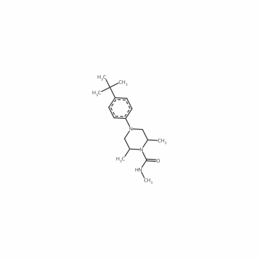 CNC(=O)N1C(C)CN(c2ccc(C(C)(C)C)cc2)CC1C